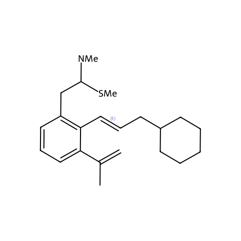 C=C(C)c1cccc(CC(NC)SC)c1/C=C/CC1CCCCC1